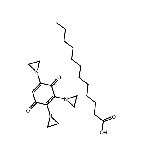 CCCCCCCCCCCC(=O)O.O=C1C=C(N2CC2)C(=O)C(N2CC2)=C1N1CC1